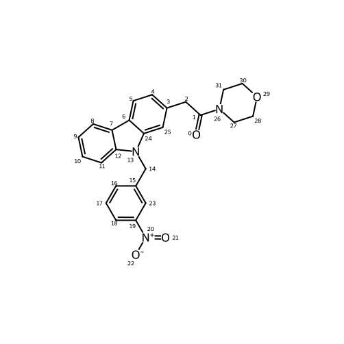 O=C(Cc1ccc2c3ccccc3n(Cc3cccc([N+](=O)[O-])c3)c2c1)N1CCOCC1